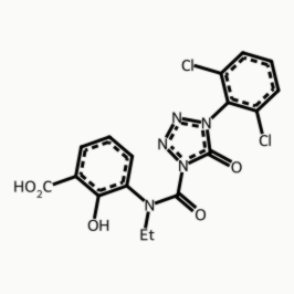 CCN(C(=O)n1nnn(-c2c(Cl)cccc2Cl)c1=O)c1cccc(C(=O)O)c1O